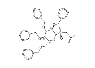 C=C(C)CS(=O)(=O)C1O[C@H](COCc2ccccc2)[C@@H](OCc2ccccc2)C(OCc2ccccc2)[C@H]1OCc1ccccc1